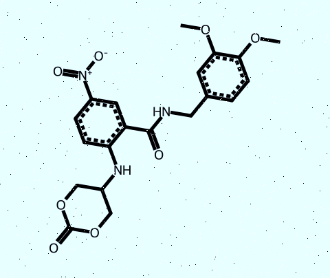 COc1ccc(CNC(=O)c2cc([N+](=O)[O-])ccc2NC2COC(=O)OC2)cc1OC